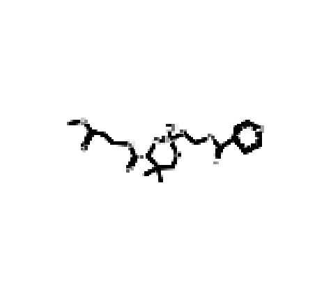 COC(=O)CCNC(=O)[C@@H]1O[PH](O)(OCOC(=O)c2ccncc2)OCC1(C)C